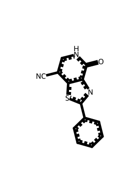 N#Cc1c[nH]c(=O)c2nc(-c3ccccc3)sc12